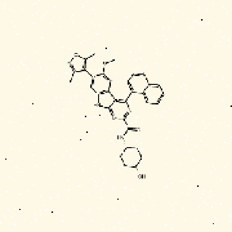 COc1cc2c(cc1-c1c(C)noc1C)[nH]c1nc(C(=O)N[C@H]3CC[C@@H](O)CC3)nc(-c3ccnc4ccccc34)c12